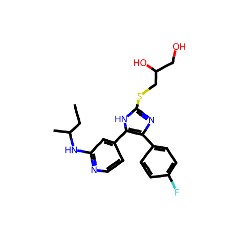 CCC(C)Nc1cc(-c2[nH]c(SCC(O)CO)nc2-c2ccc(F)cc2)ccn1